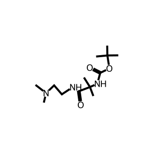 CN(C)CCNC(=O)C(C)(C)NC(=O)OC(C)(C)C